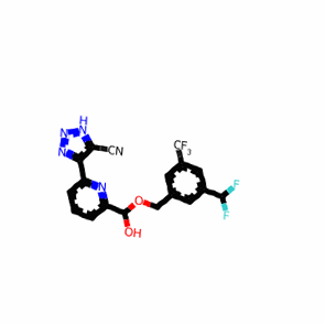 N#Cc1[nH]nnc1-c1cccc(C(O)OCc2cc(C(F)F)cc(C(F)(F)F)c2)n1